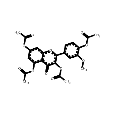 COc1cc(-c2oc3cc(OC(C)=O)cc(OC(C)=O)c3c(=O)c2OC(C)=O)ccc1OC(C)=O